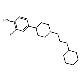 Oc1ccc(N2CCN(CCCC3CCCCC3)CC2)cc1F